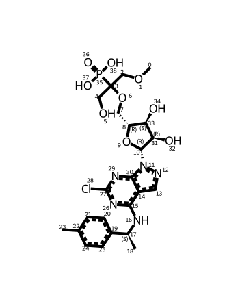 COCC(CO)(OC[C@H]1O[C@@H](n2ncc3c(N[C@@H](C)c4ccc(C)cc4)nc(Cl)nc32)[C@H](O)[C@@H]1O)P(=O)(O)O